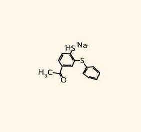 CC(=O)c1ccc(S)c(Sc2ccccc2)c1.[Na]